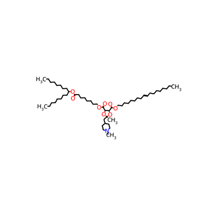 CCCCCCCCC=CCCCCCCCCOC(=O)C1OC(C)(CC2CCN(C)CC2)OC1C(=O)OCCCCCCCC(=O)OC(CCCCCCCC)CCCCCCCC